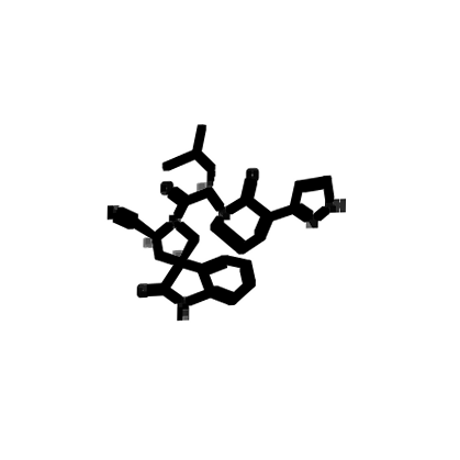 CC(C)C[C@@H](C(=O)N1C[C@]2(C[C@H]1C#N)C(=O)Nc1ccccc12)n1cccc(-c2cc[nH]n2)c1=O